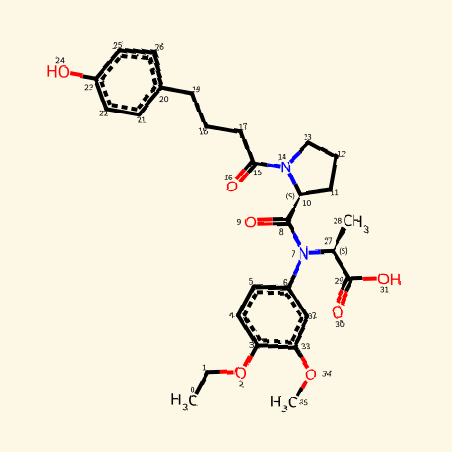 CCOc1ccc(N(C(=O)[C@@H]2CCCN2C(=O)CCCc2ccc(O)cc2)[C@@H](C)C(=O)O)cc1OC